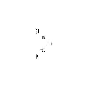 [B].[Li].[O].[P].[Si]